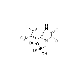 CCC(C)OP(=O)(O)Cn1c(=O)c(=O)[nH]c2cc(F)c([N+](=O)[O-])cc21